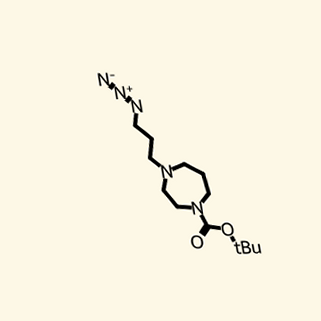 CC(C)(C)OC(=O)N1CCCN(CCCN=[N+]=[N-])CC1